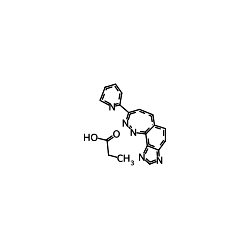 CCC(=O)O.c1ccc(-c2ccc3ccc4ncnc4c3nn2)nc1